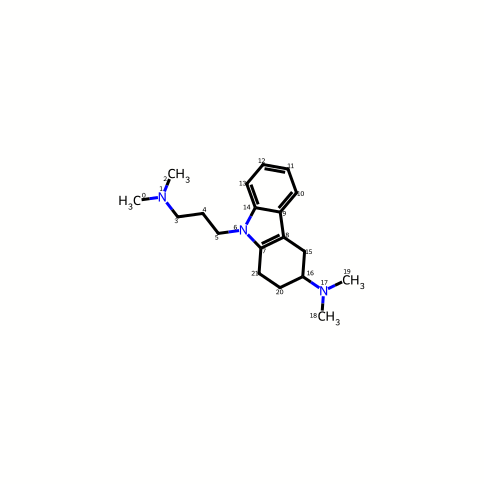 CN(C)CCCn1c2c(c3ccccc31)CC(N(C)C)CC2